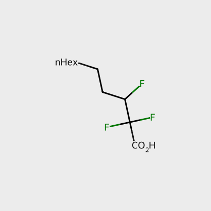 CCCCCCCCC(F)C(F)(F)C(=O)O